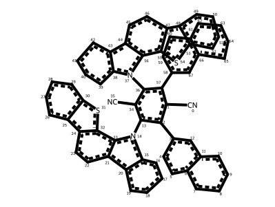 N#Cc1c(-c2ccc3ccccc3c2)c(-n2c3ccccc3c3ccc4c5ccccc5sc4c32)c(C#N)c(-n2c3ccccc3c3ccc4c5ccccc5sc4c32)c1-c1ccc2ccccc2c1